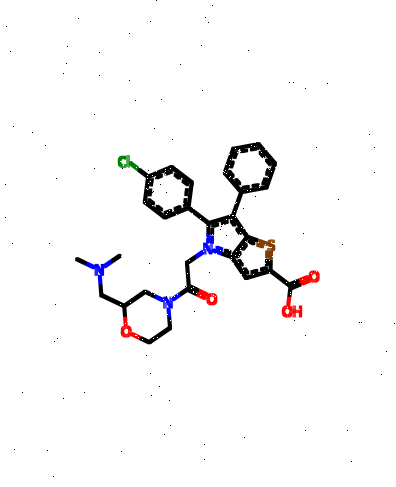 CN(C)CC1CN(C(=O)Cn2c(-c3ccc(Cl)cc3)c(-c3ccccc3)c3sc(C(=O)O)cc32)CCO1